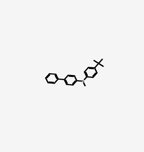 CN(c1ccc(-c2ccccc2)cc1)c1ccc(C(C)(C)C)cc1